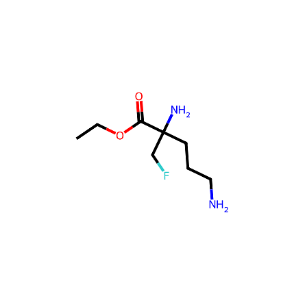 CCOC(=O)C(N)(CF)CCCN